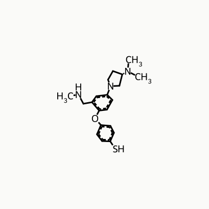 CNCc1cc(N2CC[C@H](N(C)C)C2)ccc1Oc1ccc(S)cc1